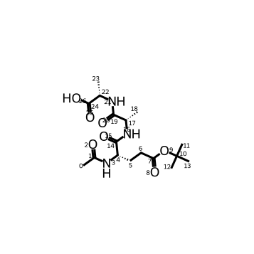 CC(=O)N[C@@H](CCC(=O)OC(C)(C)C)C(=O)N[C@@H](C)C(=O)N[C@@H](C)C(=O)O